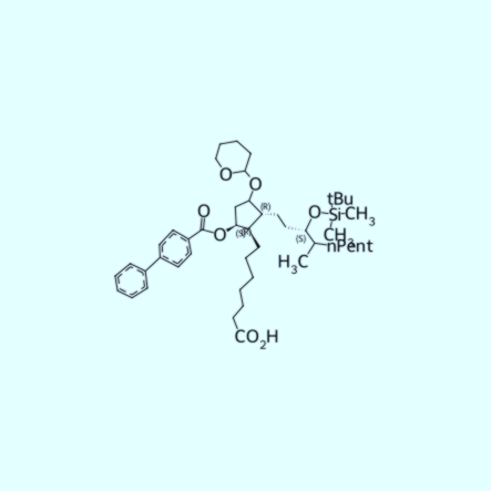 CCCCCC(C)[C@H](CC[C@H]1C(OC2CCCCO2)C[C@H](OC(=O)c2ccc(-c3ccccc3)cc2)[C@@H]1CCCCCCC(=O)O)O[Si](C)(C)C(C)(C)C